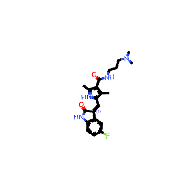 Cc1[nH]c(/C=C2\C(=O)Nc3ccc(F)cc32)c(C)c1C(=O)NCCCN(C)C